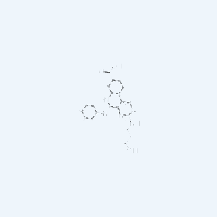 O=C(O)c1ccc2c(c1)nc(Nc1ccccc1)c1nc(NCCCO)ncc12